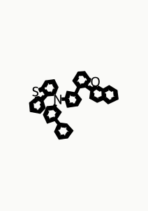 c1ccc(-c2cccc(N(c3cccc(-c4cccc5oc6c7ccccc7ccc6c45)c3)c3cccc4sc5ccccc5c34)c2)cc1